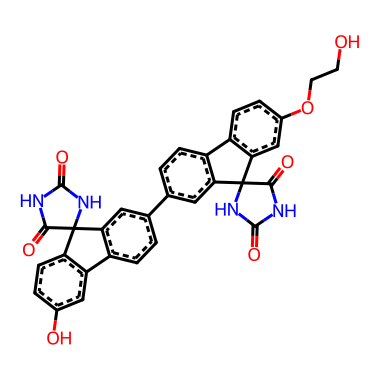 O=C1NC(=O)C2(N1)c1ccc(O)cc1-c1ccc(-c3ccc4c(c3)C3(NC(=O)NC3=O)c3cc(OCCO)ccc3-4)cc12